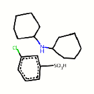 C1CCC(NC2CCCCC2)CC1.O=S(=O)(O)c1cccc(Cl)c1